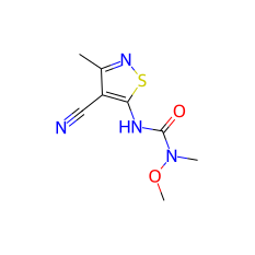 CON(C)C(=O)Nc1snc(C)c1C#N